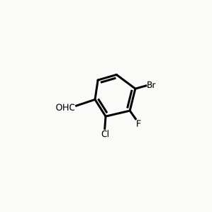 O=Cc1ccc(Br)c(F)c1Cl